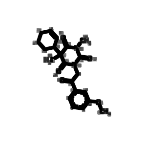 COc1cccc(C(=O)CN2C(=O)N(C)C(=O)C(C)(C3C=CCCC3)C2=O)c1